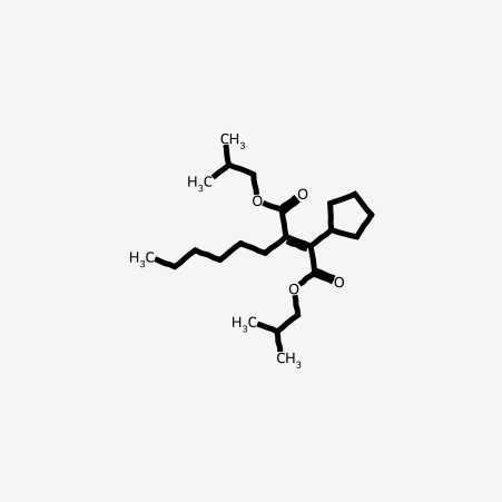 CCCCCCC(C(=O)OCC(C)C)=C(C(=O)OCC(C)C)C1CCCC1